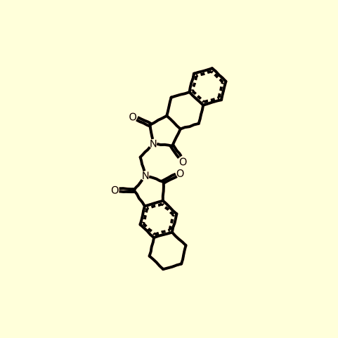 O=C1c2cc3c(cc2C(=O)N1CN1C(=O)C2Cc4ccccc4CC2C1=O)CCCC3